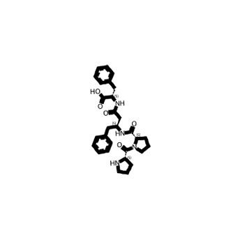 O=C(C[C@H](Cc1ccccc1)NC(=O)[C@@H]1CCCN1C(=O)[C@@H]1CCCN1)N[C@@H](Cc1ccccc1)C(=O)O